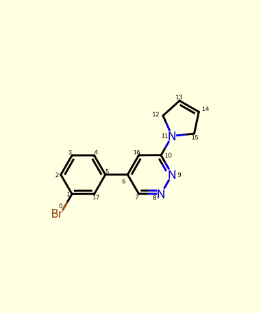 Brc1cccc(-c2cnnc(N3CC=CC3)c2)c1